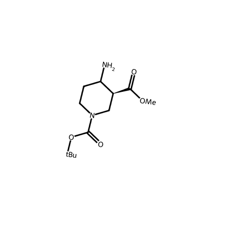 COC(=O)[C@H]1CN(C(=O)OC(C)(C)C)CCC1N